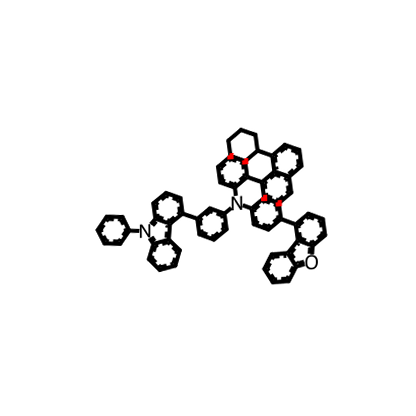 c1ccc(-n2c3ccccc3c3c(-c4cccc(N(c5ccc(-c6cccc7oc8ccccc8c67)cc5)c5ccccc5-c5cccc6cccc(C7CCCCC7)c56)c4)cccc32)cc1